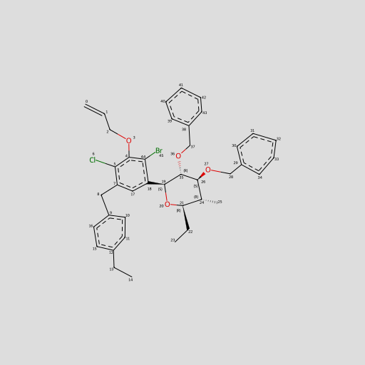 C=CCOc1c(Cl)c(Cc2ccc(CC)cc2)cc([C@@H]2O[C@H](CC)[C@@H](C)[C@H](OCc3ccccc3)[C@H]2OCc2ccccc2)c1Br